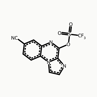 N#Cc1ccc2c(c1)nc(OS(=O)(=O)C(F)(F)F)c1nccn12